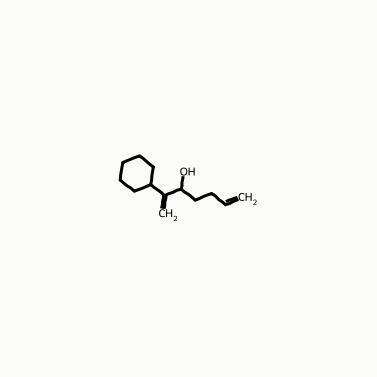 C=CCCC(O)C(=C)C1CCCCC1